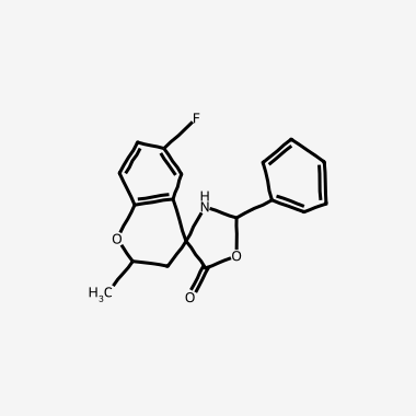 CC1CC2(NC(c3ccccc3)OC2=O)c2cc(F)ccc2O1